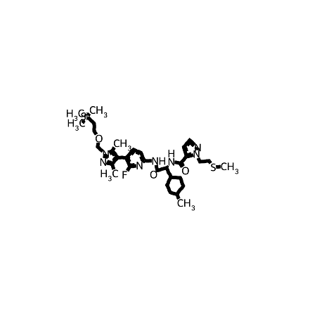 CSCCn1nccc1C(=O)N[C@H](C(=O)Nc1ccc(-c2c(C)nn(COCC[Si](C)(C)C)c2C)c(F)n1)C1CCC(C)CC1